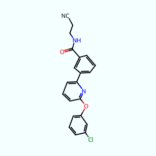 N#CCCNC(=O)c1cccc(-c2cccc(Oc3cccc(Cl)c3)n2)c1